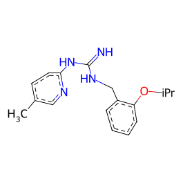 Cc1ccc(NC(=N)NCc2ccccc2OC(C)C)nc1